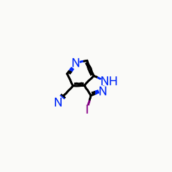 N#Cc1cncc2[nH]nc(I)c12